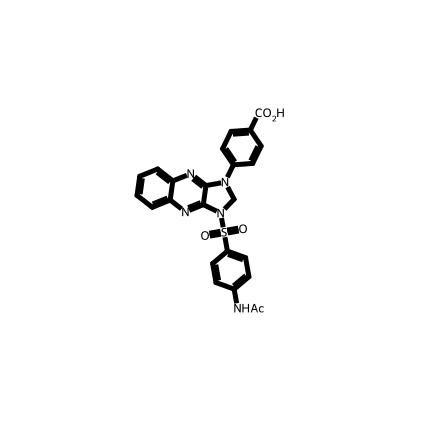 CC(=O)Nc1ccc(S(=O)(=O)N2CN(c3ccc(C(=O)O)cc3)c3nc4ccccc4nc32)cc1